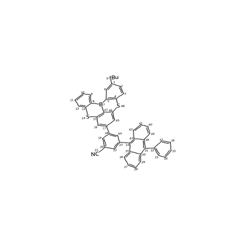 CC(C)(C)c1ccc2c(c1)B1c3ccccc3Sc3cc(-c4cc(C#N)cc(-c5c6ccccc6c(-c6ccccc6)c6ccccc56)c4)cc(c31)S2